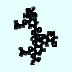 CC(C)(OC(=O)c1ccc(NS(C)(=O)=O)c(OCC2CC2)c1)C(=O)O[C@@H](Cc1c(Cl)cncc1Cl)c1ccc(OC(F)F)c(OCC2CC2)c1